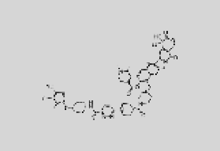 CC[C@@]1(O)C(=O)OCc2c1cc1n(c2=O)Cc2cc3c(CN4CCN(C(=O)C5CCN(c6ccc(C(=O)NC7CCC(Oc8ccc(C#N)c(Cl)c8C)CC7)nn6)CC5)CC4)c(OC(=O)N4C[C@H](C)N(C)C[C@H]4C)ccc3nc2-1